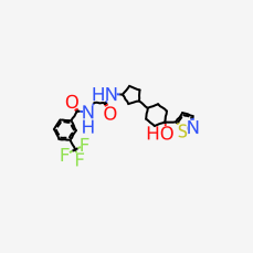 O=C(CNC(=O)c1cccc(C(F)(F)F)c1)NC1CCC(C2CCC(O)(c3ccns3)CC2)C1